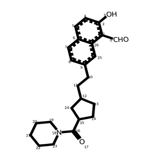 O=Cc1c(O)ccc2ccc(CCC3CCC(C(=O)N4CCCCC4)C3)cc12